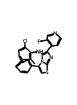 Cc1cccc(Cl)c1Nc1c(-c2ccncc2F)nc2scc(-c3ccccc3)n12